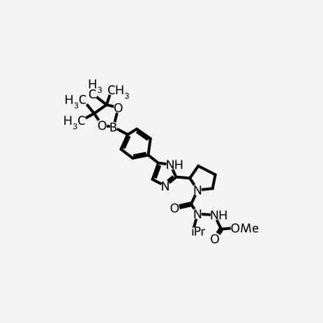 COC(=O)NN(C(=O)N1CCCC1c1ncc(-c2ccc(B3OC(C)(C)C(C)(C)O3)cc2)[nH]1)C(C)C